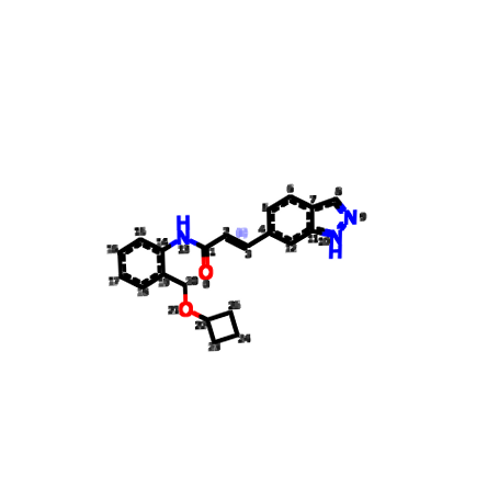 O=C(/C=C/c1ccc2cn[nH]c2c1)Nc1ccccc1COC1CCC1